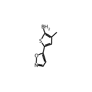 Bc1sc(-c2ccno2)cc1C